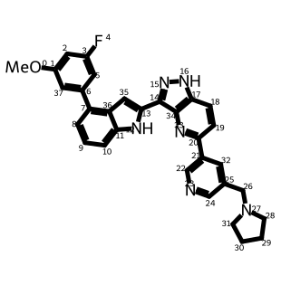 COc1cc(F)cc(-c2cccc3[nH]c(-c4n[nH]c5ccc(-c6cncc(CN7CCCC7)c6)nc45)cc23)c1